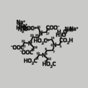 O.O.O.O.O=C(O)CN(CCN(CC(=O)O)CC(=O)O)CC(=O)O.O=C([O-])CN(CCN(CC(=O)[O-])CC(=O)[O-])CC(=O)[O-].[Na+].[Na+].[Na+].[Na+]